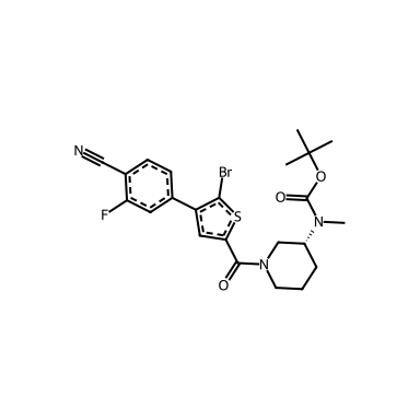 CN(C(=O)OC(C)(C)C)[C@@H]1CCCN(C(=O)c2cc(-c3ccc(C#N)c(F)c3)c(Br)s2)C1